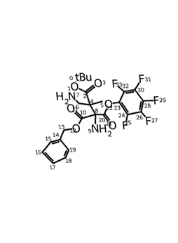 CC(C)(C)OC(=O)C(C)(CN)C(N)(C(=O)OCc1ccccc1)C(=O)Oc1c(F)c(F)c(F)c(F)c1F